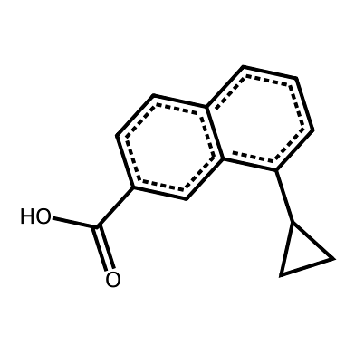 O=C(O)c1ccc2cccc(C3CC3)c2c1